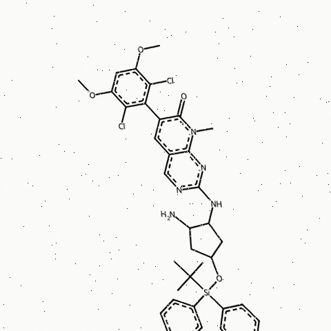 COc1cc(OC)c(Cl)c(-c2cc3cnc(NC4CC(O[Si](c5ccccc5)(c5ccccc5)C(C)(C)C)CC4N)nc3n(C)c2=O)c1Cl